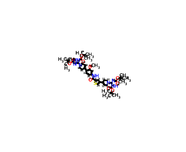 COc1cc(NC(=O)c2cc(C3=CCN(C(=NC(=O)OC(C)(C)C)NC(=O)OC(C)(C)C)CC3)cs2)ccc1C1=CCN(C(=NC(=O)OC(C)(C)C)NC(=O)OC(C)(C)C)CC1